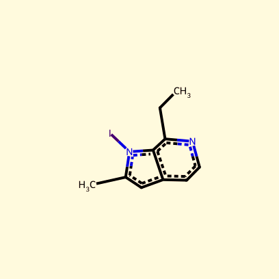 CCc1nccc2cc(C)n(I)c12